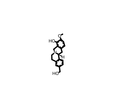 COc1ccc2c(c1O)CN1CCc3cc(CO)ccc3[C@H]1C2